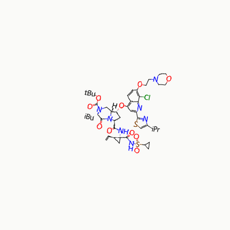 C=C[C@@H]1C[C@]1(NC(=O)[C@@H]1C[C@@H](Oc2cc(-c3nc(C(C)C)cs3)nc3c(Cl)c(OCCN4CCOCC4)ccc23)[C@H]2CN(C(=O)OC(C)(C)C)[C@H]([C@H](C)CC)C(=O)N21)C(=O)NS(=O)(=O)C1CC1